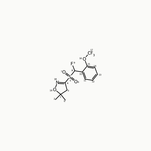 CC1(C)CC(S(=O)(=O)C(F)c2ccccc2OC(F)(F)F)=NO1